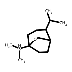 CC(C)C1CCC2([SH](C)C)CCC1CO2